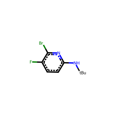 CC(C)(C)Nc1ccc(F)c(Br)n1